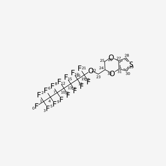 FC(F)(F)C(F)(F)C(F)(F)C(F)(F)C(F)(F)C(F)(F)C(F)(F)OCC1COc2cscc2O1